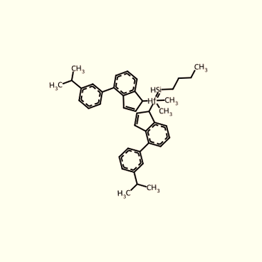 CCCC[SiH]=[Hf]([CH3])([CH3])([CH]1C=Cc2c(-c3cccc(C(C)C)c3)cccc21)[CH]1C=Cc2c(-c3cccc(C(C)C)c3)cccc21